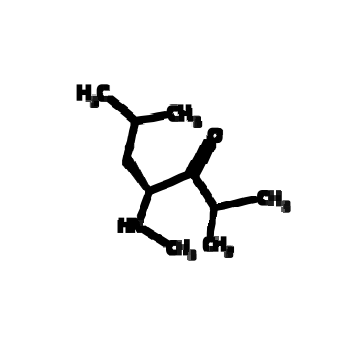 CN[C@@H](CC(C)C)C(=O)C(C)C